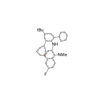 CNc1c(Nc2c(-c3ccccc3)cc(C(C)(C)C)cc2-c2ccccc2)ccc2cc(F)ccc12